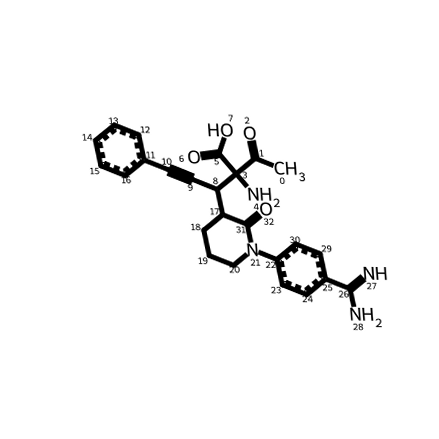 CC(=O)C(N)(C(=O)O)C(C#Cc1ccccc1)C1CCCN(c2ccc(C(=N)N)cc2)C1=O